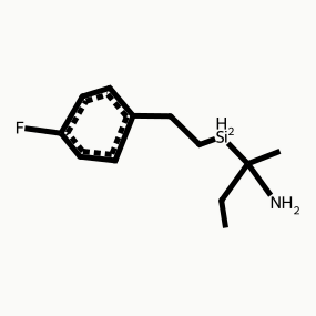 CCC(C)(N)[SiH2]CCc1ccc(F)cc1